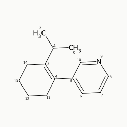 C[C](C)C1=C(c2cccnc2)CCCC1